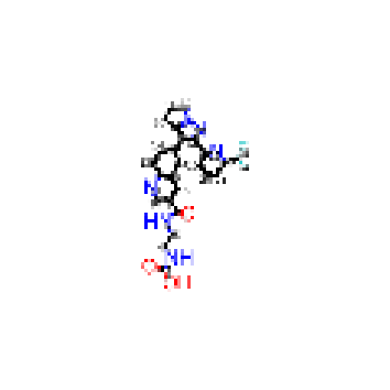 O=C(O)NCCNC(=O)c1cnc2ccc(-c3c(-c4cccc(C(F)F)n4)nn4c3CCC4)cc2c1